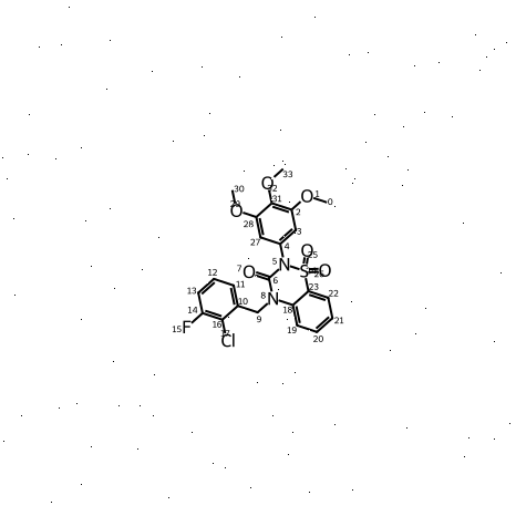 COc1cc(N2C(=O)N(Cc3cccc(F)c3Cl)c3ccccc3S2(=O)=O)cc(OC)c1OC